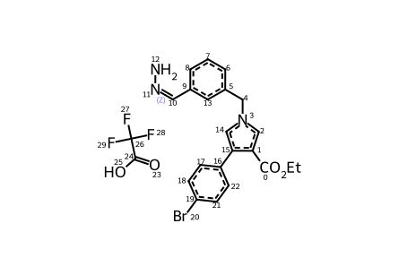 CCOC(=O)c1cn(Cc2cccc(/C=N\N)c2)cc1-c1ccc(Br)cc1.O=C(O)C(F)(F)F